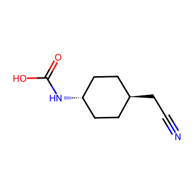 N#CC[C@H]1CC[C@H](NC(=O)O)CC1